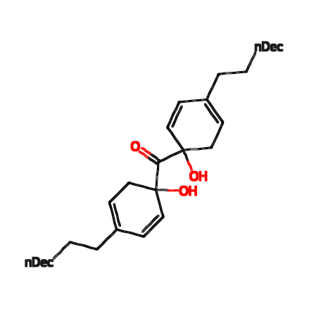 CCCCCCCCCCCCC1=CCC(O)(C(=O)C2(O)C=CC(CCCCCCCCCCCC)=CC2)C=C1